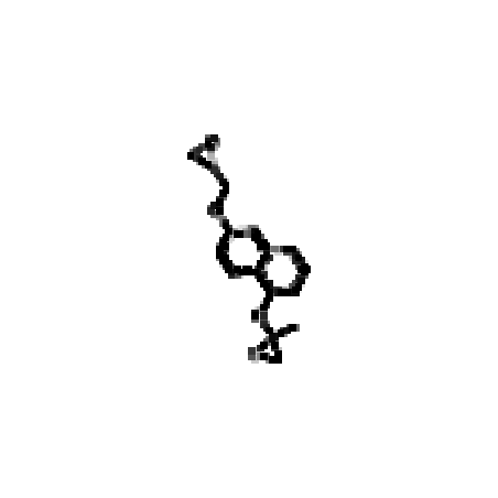 CC1(Oc2cccc3cc(OCC4CO4)ccc23)CO1